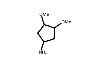 COC1CC(N)CC1OC